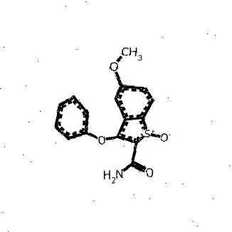 COc1ccc2c(c1)c(Oc1ccccc1)c(C(N)=O)[s+]2[O-]